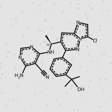 C[C@H](Nc1ncnc(N)c1C#N)c1cc2ncc(Cl)n2nc1-c1cccc(C(C)(C)O)c1